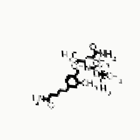 Cc1cc(CCCCC(N)=O)ccc1CO[C@H](C)[C@H](CCC(N)=O)NC(=O)OC(C)(C)C